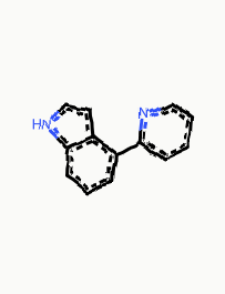 c1ccc(-c2cccc3[nH]ccc23)nc1